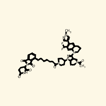 CC(=O)N1CCc2c(c(N3CCCc4cc(-c5cnn(C)c5)c(C(F)F)cc43)nn2C2CCN(C(=O)CCCCCCc3cccc4c3C(=O)N(C3CCC(=O)NC3=O)C4=O)CC2)C1